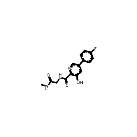 CNC(=O)CNC(=O)c1ncc(-c2ccc(F)cc2)cc1O